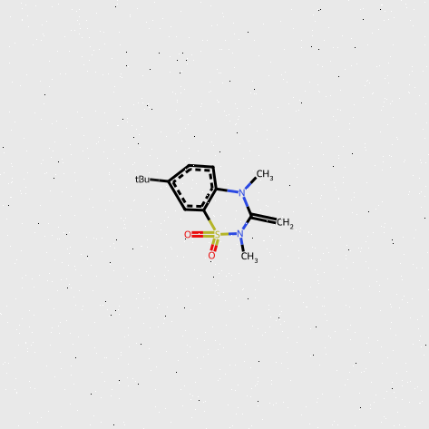 C=C1N(C)c2ccc(C(C)(C)C)cc2S(=O)(=O)N1C